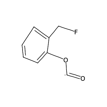 O=[C]Oc1ccccc1CF